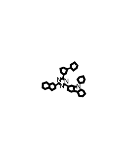 c1ccc(-c2cccc(-c3nc(-c4ccc5ccccc5c4)nc(-c4ccc5c6ccccc6n(-c6ccccc6)c5c4)n3)c2)cc1